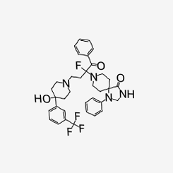 O=C(c1ccccc1)C(F)(CCN1CCC(O)(c2cccc(C(F)(F)F)c2)CC1)N1CCC2(CC1)C(=O)NCN2c1ccccc1